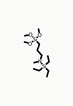 CC[Si](CC)(CC)N(C)CCC[Si](OC)(OC)OC